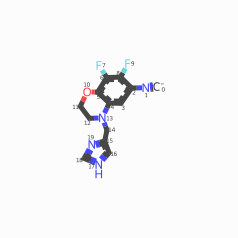 [C-]#[N+]c1cc2c(c(F)c1F)OCCN2Cc1c[nH]cn1